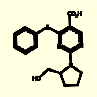 O=C(O)c1cnc(N2CCC[C@H]2CO)nc1Sc1ccccc1